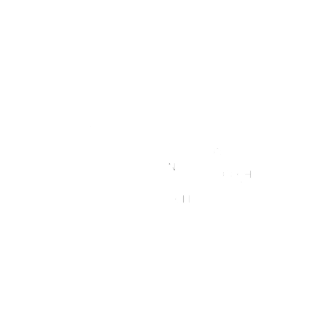 Cn1c(OC(=O)O)cc2cc(F)ccc21